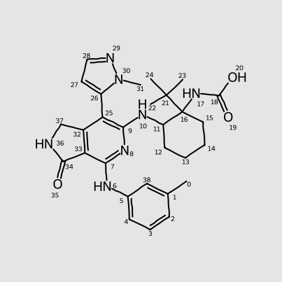 Cc1cccc(Nc2nc(NC3CCCCC3(NC(=O)O)C(C)(C)C)c(-c3ccnn3C)c3c2C(=O)NC3)c1